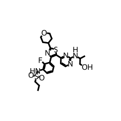 CCCS(=O)(=O)Nc1cccc(-c2nc(C3CCOCC3)sc2-c2ccnc(NC(C)CO)n2)c1F